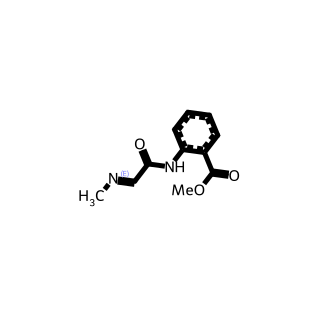 C/N=C/C(=O)Nc1ccccc1C(=O)OC